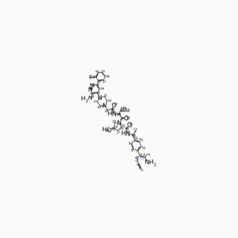 C#CS/C(=C(/C)N)c1ccc([C@H](C)NC(=O)[C@@H]2C[C@@H](O)CN2C(=O)[C@@H](NC(=O)CN2CCN(c3cc(-c4ccccc4F)nnc3N)CC2)C(C)(C)C)cc1